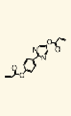 C=CC(=O)Oc1ccc(-c2ncc(OC(=O)C=C)cn2)cc1